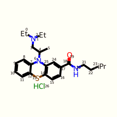 CCN(CC)CC(C)N1c2ccccc2Sc2ccc(C(=O)NCCC(C)C)cc21.Cl